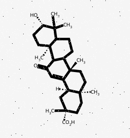 CC1(C)C2CCC3C(C(=O)C=C4[C@@H]5C[C@@](C)(C(=O)O)CC[C@]5(C)CC[C@]43C)[C@@]2(C)CC[C@@H]1O